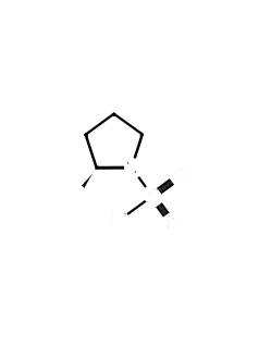 O=S(=O)(Cl)N1CCC[C@@H]1F